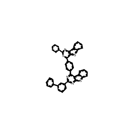 c1ccc(-c2cccc(-c3nc(-c4ccc(-c5nc(-c6ccccc6)nc6c5sc5ccccc56)cc4)c4c(n3)sc3ccccc34)c2)cc1